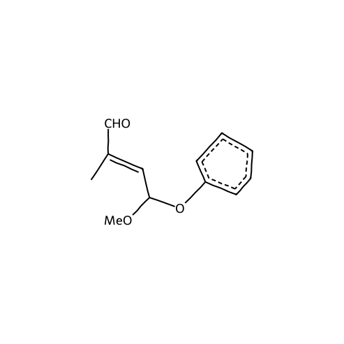 COC(/C=C(\C)C=O)Oc1ccccc1